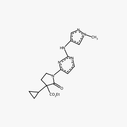 CCOC(=O)C1(C2CC2)CCN(c2ccnc(Nc3cnn(C)c3)n2)C1=O